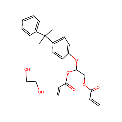 C=CC(=O)OCC(OC(=O)C=C)Oc1ccc(C(C)(C)c2ccccc2)cc1.OCCO